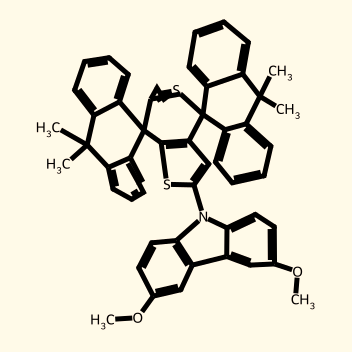 COc1ccc2c(c1)c1cc(OC)ccc1n2-c1cc2c(s1)C1(c3ccccc3C(C)(C)c3ccccc31)c1ccsc1C21c2ccccc2C(C)(C)c2ccccc21